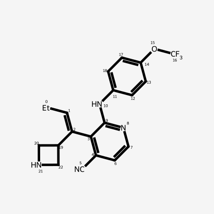 CC/C=C(/c1c(C#N)ccnc1Nc1ccc(OC(F)(F)F)cc1)C1CNC1